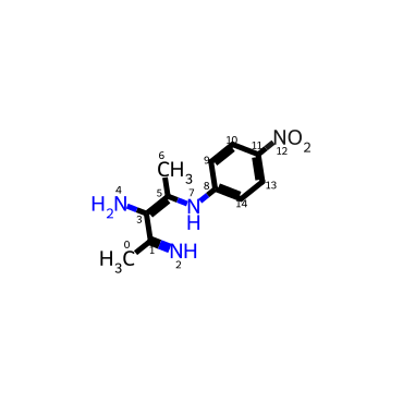 CC(=N)/C(N)=C(/C)Nc1ccc([N+](=O)[O-])cc1